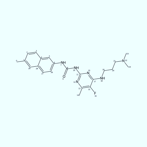 Cc1ccc2cc(NC(=O)Nc3nc(C)c(F)c(NCCCN(C)C)n3)ccc2c1